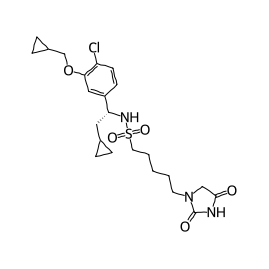 O=C1CN(CCCCCS(=O)(=O)N[C@H](CC2CC2)c2ccc(Cl)c(OCC3CC3)c2)C(=O)N1